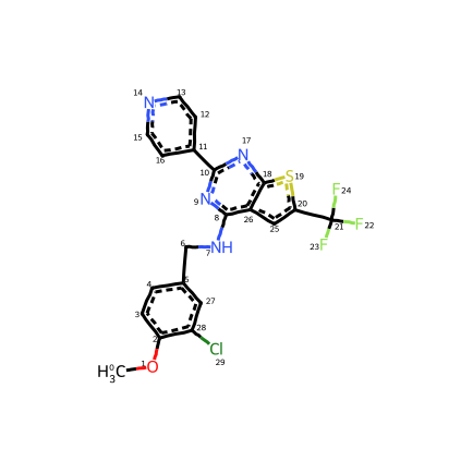 COc1ccc(CNc2nc(-c3ccncc3)nc3sc(C(F)(F)F)cc23)cc1Cl